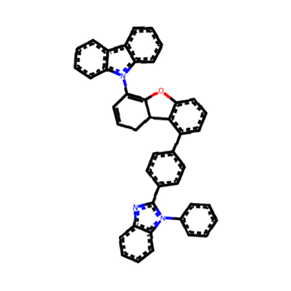 C1=CC(n2c3ccccc3c3ccccc32)=C2Oc3cccc(-c4ccc(-c5nc6ccccc6n5-c5ccccc5)cc4)c3C2C1